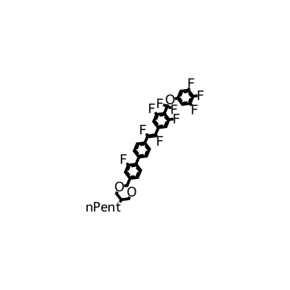 CCCCCC1COC(c2ccc(-c3ccc(/C(F)=C(\F)c4cc(F)c(C(F)(F)Oc5cc(F)c(F)c(F)c5)c(F)c4)cc3)c(F)c2)OC1